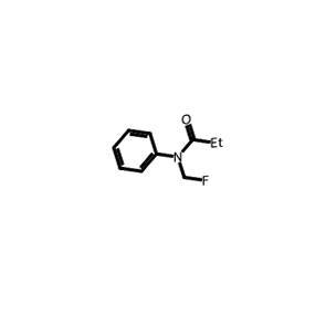 CCC(=O)N(CF)c1ccccc1